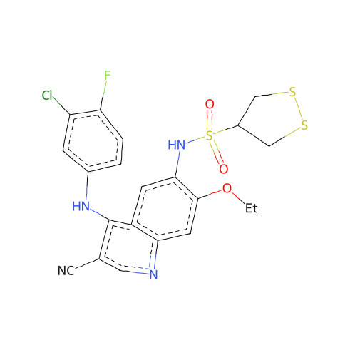 CCOc1cc2ncc(C#N)c(Nc3ccc(F)c(Cl)c3)c2cc1NS(=O)(=O)C1CSSC1